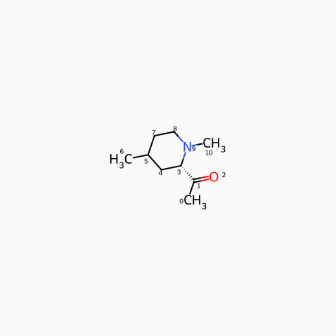 CC(=O)[C@@H]1CC(C)CCN1C